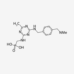 CNCc1ccc(CNc2nc(C)nc(NCP(=O)(O)O)n2)cc1